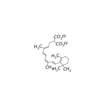 CC(C=C/C=C(/C)C=CC1=C(C)CCCC1(C)C)=CCC(C(=O)O)C(=O)O